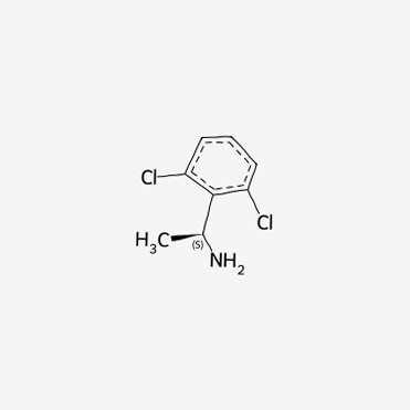 C[C@H](N)c1c(Cl)cccc1Cl